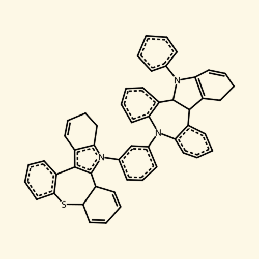 C1=CC2Sc3ccccc3-c3c4c(n(-c5cccc(N6c7ccccc7C7C8=C(C=CCC8)N(c8ccccc8)C7c7ccccc76)c5)c3C2C=C1)CCC=C4